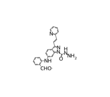 NNC(=O)n1nc(/C=C/c2ccccn2)c2ccc(Nc3ccccc3[C]=O)cc21